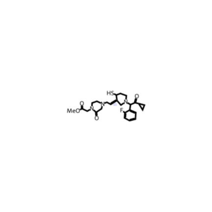 COC(=O)CN1CCN(C/C=C2/CN(C(C(=O)C3CC3)c3ccccc3F)CCC2S)CC1=O